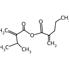 C=C(CCC)C(=O)OC(=O)C(=C)C(C)C